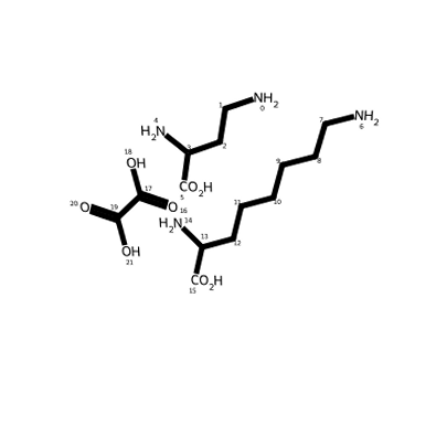 NCCC(N)C(=O)O.NCCCCCCC(N)C(=O)O.O=C(O)C(=O)O